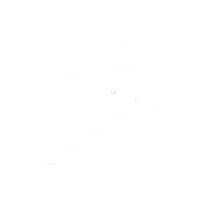 CCCCCCCCCCCCCCCC[N+](CCC)(CCC)Cc1ccccc1.[Cl-]